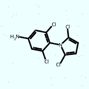 Nc1cc(Cl)c(-n2c(Cl)ccc2Cl)c(Cl)c1